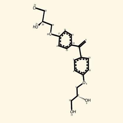 C=C(c1ccc(OC[C@H](O)CO)cc1)c1ccc(OC[C@@H](O)CCl)cc1